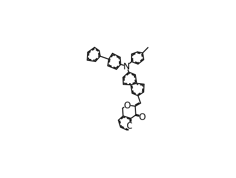 Cc1ccc(N(c2ccc(-c3ccccc3)cc2)c2ccc3cc(C=C4OCc5ccccc5C4=O)ccc3c2)cc1